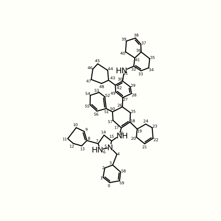 C1=CCC(CN2NC(C3=CCCCC3)CC2NC2=C(C3CC=CCC3)CC(c3ccc(NC4=CCCC5C=CCCC45)c(C4CCCCC4)c3)C(C3=CCCC=C3)C2)C=C1